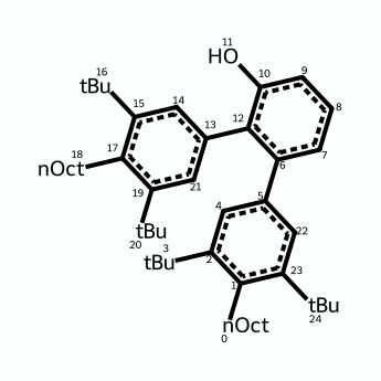 CCCCCCCCc1c(C(C)(C)C)cc(-c2cccc(O)c2-c2cc(C(C)(C)C)c(CCCCCCCC)c(C(C)(C)C)c2)cc1C(C)(C)C